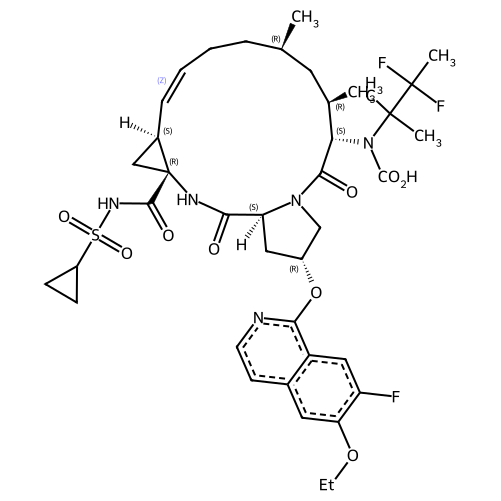 CCOc1cc2ccnc(O[C@@H]3C[C@H]4C(=O)N[C@]5(C(=O)NS(=O)(=O)C6CC6)C[C@H]5/C=C\CC[C@@H](C)C[C@@H](C)[C@H](N(C(=O)O)C(C)(C)C(C)(F)F)C(=O)N4C3)c2cc1F